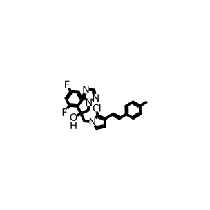 Cc1ccc(/C=C/c2ccn(CC(O)(Cn3cncn3)c3ccc(F)cc3F)c2Cl)cc1